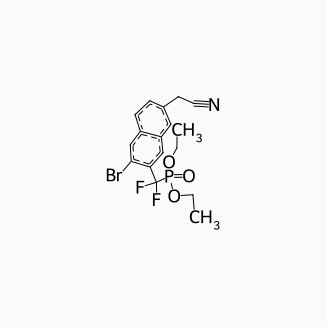 CCOP(=O)(OCC)C(F)(F)c1cc2cc(CC#N)ccc2cc1Br